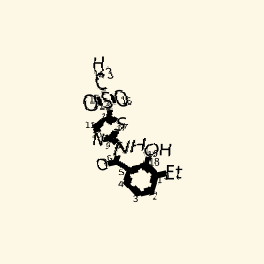 CCc1cccc(C(=O)Nc2ncc(S(C)(=O)=O)s2)c1O